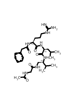 CC(=O)NCC(=O)NC[C@@H](NC(=O)[C@H](CC(C)C)NC(=O)[C@H](CCCNC(=N)N)NC(=O)Cc1ccccc1)C(C)C